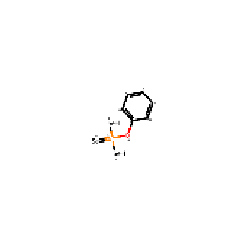 [Se]=P([SeH])([SeH])Oc1ccccc1